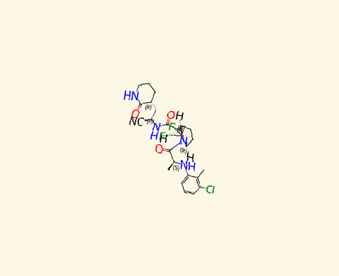 Cc1c(Cl)cccc1N[C@@H](C)C(=O)N1[C@@H]2CC[C@H]([C@@H]1C(=O)N[C@@H](C#N)C[C@H]1CCCNC1=O)C(F)(F)C2